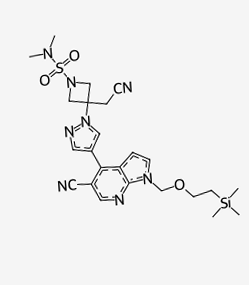 CN(C)S(=O)(=O)N1CC(CC#N)(n2cc(-c3c(C#N)cnc4c3ccn4COCC[Si](C)(C)C)cn2)C1